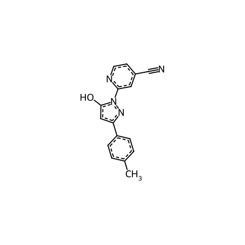 Cc1ccc(-c2cc(O)n(-c3cc(C#N)ccn3)n2)cc1